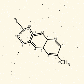 CC1=CC2C=c3ccc(I)cc3=CC2C=C1